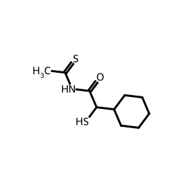 CC(=S)NC(=O)C(S)C1CCCCC1